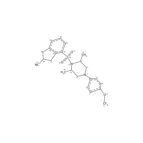 CC1CN(c2ccc(OC(F)(F)F)cc2)CC(C)N1S(=O)(=O)c1cccc2c1CC(C#N)C2